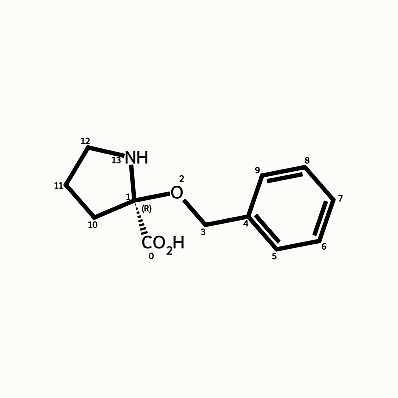 O=C(O)[C@]1(OCc2ccccc2)CCCN1